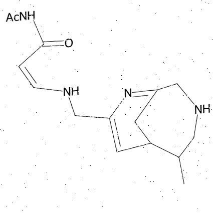 CC(=O)NC(=O)/C=C\NCC1=CC2CC(=N1)CNCC2C